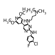 COc1cc(-c2cnc(Nc3ccc(F)c(Cl)c3)nc2NCCCN(C)C)cc(OC)n1